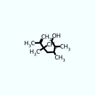 C=C(C)C(C)(C)CC(C)C(C)CO